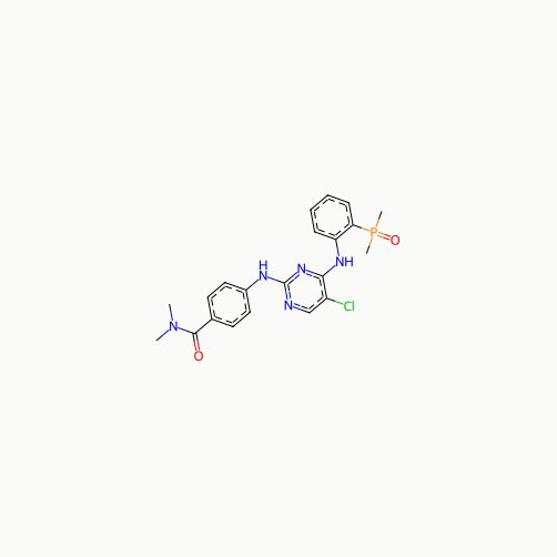 CN(C)C(=O)c1ccc(Nc2ncc(Cl)c(Nc3ccccc3P(C)(C)=O)n2)cc1